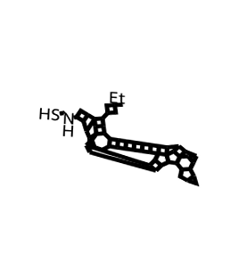 CCC1(C)CC(C2C3C4C5C6CC7C8C79C(C7C%10C(C79)C79C%11C%12C%13C%14C6C5C%14C%13C%12C%11C7C5C6C7C%11C%12C%13C%14CC%14CC%13C%13C%10C59C6C7%13C%12%11)C5C6C7C(NCS)CC7C26C3C458)C1